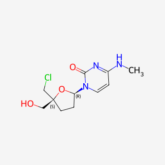 CNc1ccn([C@H]2CC[C@](CO)(CCl)O2)c(=O)n1